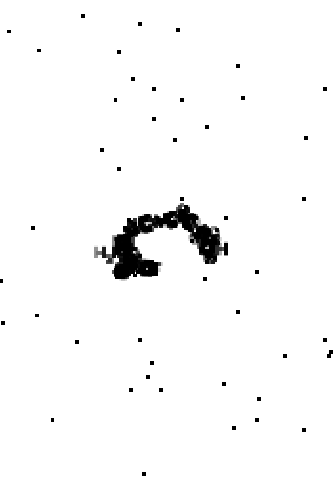 Nc1ncc(-c2cnn(C3CCN(CCC4CCN(C(=O)C5CCN(C6=CC(=O)N(C7CCC(=O)NC7=O)C6=O)CC5)CC4)CC3)c2)nc1C(=O)O[C@@H](C(=O)Nc1ccc(F)cc1)c1ccccc1